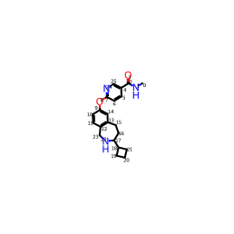 CNC(=O)c1ccc(Oc2ccc3c(c2)CCC(C2CCC2)NC3)nc1